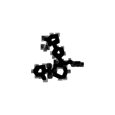 COC[C@@H]1C(c2ccc(-c3cccc(F)c3C(F)(F)F)cc2)[C@@H]2CN(S(=O)(=O)c3ccccc3C)CCCCN12